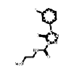 COCCNC(=O)n1nnn(-c2cccc(F)c2)c1=O